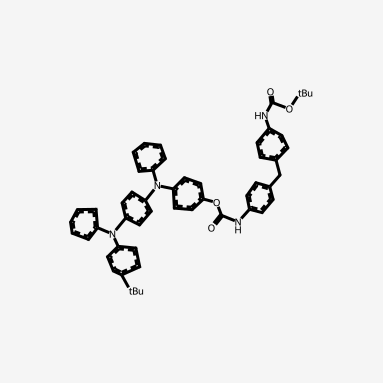 CC(C)(C)OC(=O)Nc1ccc(Cc2ccc(NC(=O)Oc3ccc(N(c4ccccc4)c4ccc(N(c5ccccc5)c5ccc(C(C)(C)C)cc5)cc4)cc3)cc2)cc1